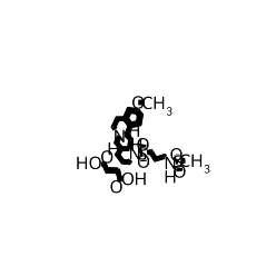 COc1ccc2c(c1)CCN1C[C@H]3CCCN(S(=O)(=O)CCCNS(C)(=O)=O)[C@H]3C[C@@H]21.O=C(O)C=CC(=O)O